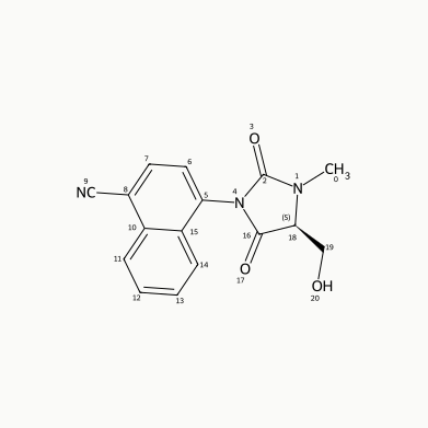 CN1C(=O)N(c2ccc(C#N)c3ccccc23)C(=O)[C@@H]1CO